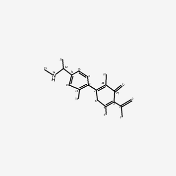 C=C(C)C1=C(C)CC(c2ccc(C(C)NC)cc2C)=C(C)C1=C